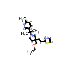 CCOCC1(CCc2nccs2)CCN(C(C)(C)c2ccc(C)nc2)C1